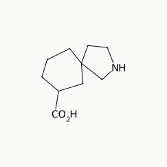 O=C(O)C1CCCC2(CCNC2)C1